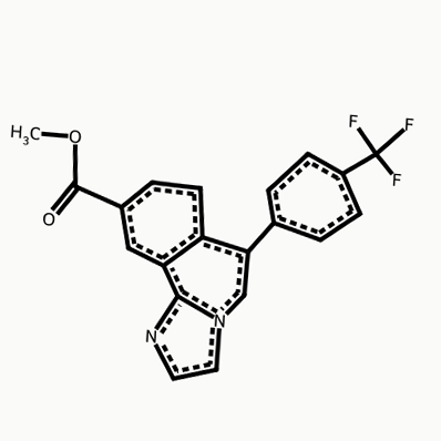 COC(=O)c1ccc2c(-c3ccc(C(F)(F)F)cc3)cn3ccnc3c2c1